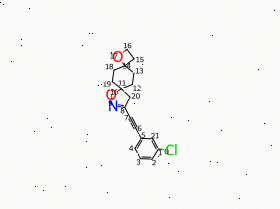 Clc1cccc(C#CC2=NOC3(CCC4(CCO4)CC3)C2)c1